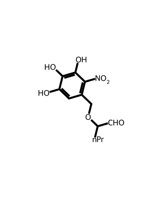 CCCC(C=O)OCc1cc(O)c(O)c(O)c1[N+](=O)[O-]